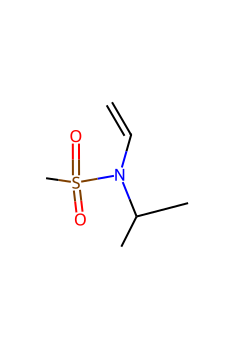 C=CN(C(C)C)S(C)(=O)=O